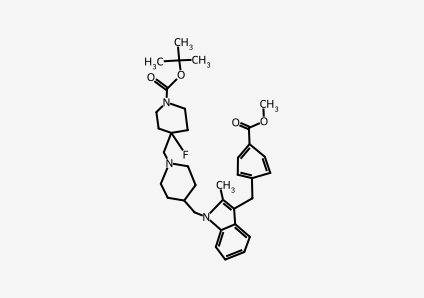 COC(=O)c1ccc(Cc2c(C)n(CC3CCN(CC4(F)CCN(C(=O)OC(C)(C)C)CC4)CC3)c3ccccc23)cc1